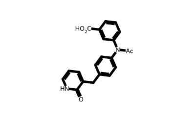 CC(=O)N(c1ccc(Cc2ccc[nH]c2=O)cc1)c1cccc(C(=O)O)c1